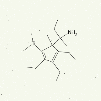 CCC1=C(CC)C(CC)(C(C)(N)CC)[C]([Ti]([CH3])[CH3])=C1CC